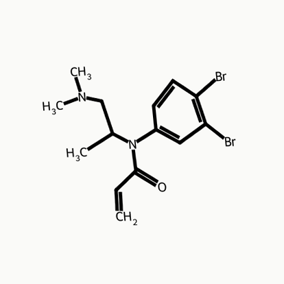 C=CC(=O)N(c1ccc(Br)c(Br)c1)C(C)CN(C)C